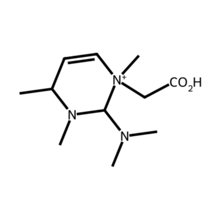 CC1C=C[N+](C)(CC(=O)O)C(N(C)C)N1C